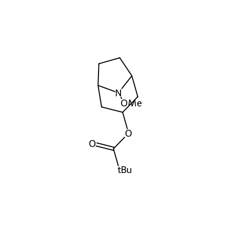 CON1C2CCC1CC(OC(=O)C(C)(C)C)C2